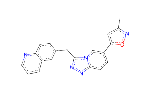 Cc1cc(-c2ccc3nnc(Cc4ccc5ncccc5c4)n3c2)on1